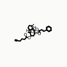 C#CCCCC(=O)O[C@@H]1C[C@]2(C(C)C)OC1(C)[C@@H]1CC[C@@H](C)[C@H]1[C@@H]2OC(=O)/C=C/c1ccccc1